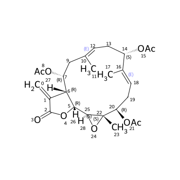 C=C1C(=O)O[C@@H]2[C@H]1[C@H](OC(C)=O)C/C(C)=C/C[C@H](OC(C)=O)/C(C)=C/C[C@@H](OC(C)=O)[C@]1(C)O[C@@H]21